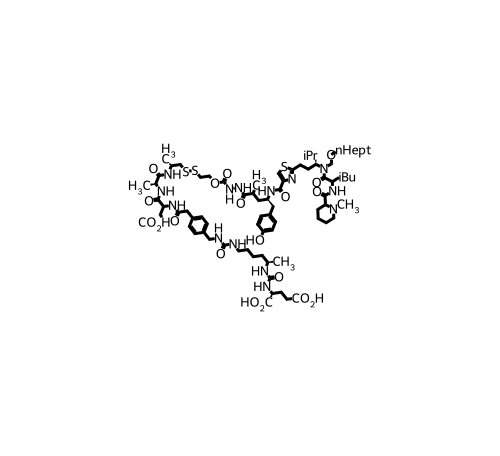 CCCCCCCOCN(C(=O)C(NC(=O)C1CCCCN1C)C(C)CC)[C@H](CCc1nc(C(=O)N[C@@H](Cc2ccc(O)cc2)CC(C)C(=O)NNC(=O)OCCSSC[C@@H](C)NC(=O)[C@H](C)NC(=O)C(CC(=O)O)NC(=O)Cc2ccc(CNC(=O)NCCCC[C@@H](C)NC(=O)N[C@@H](CCC(=O)O)C(=O)O)cc2)cs1)C(C)C